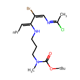 CCC/C=C(NCCCN(C)C(=O)OC(C)(C)C)/C(Br)=C\N=C(/C)Cl